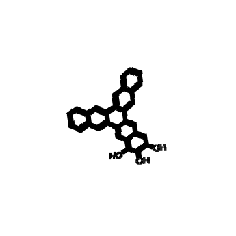 Oc1cc2cc3c4cc5ccccc5cc4c4cc5ccccc5cc4c3cc2c(O)c1O